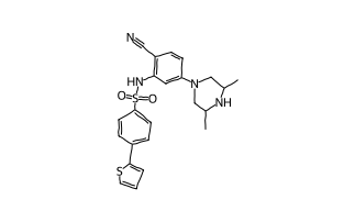 CC1CN(c2ccc(C#N)c(NS(=O)(=O)c3ccc(-c4cccs4)cc3)c2)CC(C)N1